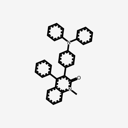 Cn1c(=O)c(-c2ccc(N(c3ccccc3)c3ccccc3)cc2)c(-c2ccccc2)c2ccccc21